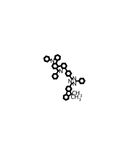 CC1(C)c2ccccc2-c2ccc(-c3nc(-c4ccccc4)nc(-c4ccc(-c5cccc6c5nc(-c5ccccc5)c5ccc7c(c8ccccc8n7-c7ccccc7)c56)cc4)n3)cc21